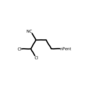 CCCCCCCC(C#N)C(Cl)Cl